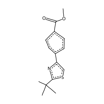 COC(=O)c1ccc(-c2csc(C(C)(C)C)n2)cc1